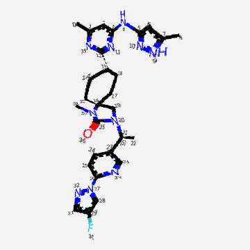 Cc1cc(Nc2cc(C)[nH]n2)nc([C@H]2CC[C@@]3(CC2)CN([C@@H](C)c2ccc(-n4cc(F)cn4)nc2)C(=O)N3C)n1